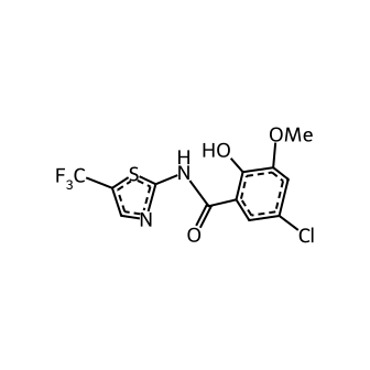 COc1cc(Cl)cc(C(=O)Nc2ncc(C(F)(F)F)s2)c1O